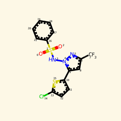 O=S(=O)(Nn1nc(C(F)(F)F)cc1-c1ccc(Cl)s1)c1ccccc1